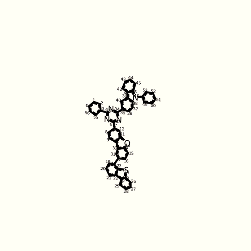 c1ccc(-c2nc(-c3ccc4c(c3)oc3ccc(-c5cccc6c5sc5ccccc56)cc34)nc(-c3ccc4c(c3)c3ccccc3n4-c3ccccc3)n2)cc1